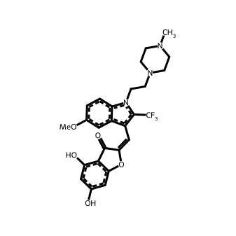 COc1ccc2c(c1)c(C=C1Oc3cc(O)cc(O)c3C1=O)c(C(F)(F)F)n2CCN1CCN(C)CC1